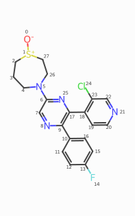 [O-][S+]1CCCN(c2cnc(-c3ccc(F)cc3)c(-c3ccncc3Cl)n2)CC1